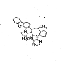 C=C1CC2c3ccc4c(oc5ccccc54)c3N3C=CN(C)C3C2C2N(C)c3nccnc3N2c2ccccc21